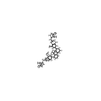 COc1nc(-c2cccc(-c3cccc(-c4cc(F)c5c(c4)CCN(CC4CCC(=O)N4)C5)c3Cl)c2Cl)ccc1CNCC1CCC(=O)N1